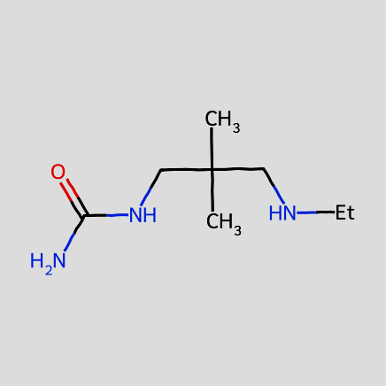 CCNCC(C)(C)CNC(N)=O